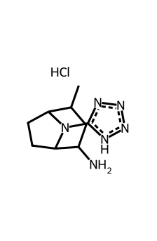 CC1CC(N)C2CCC1N2c1nnn[nH]1.Cl